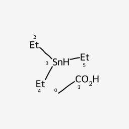 CC(=O)O.C[CH2][SnH]([CH2]C)[CH2]C